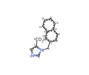 O=C(O)c1cncn1Cc1ccc2ccccc2c1